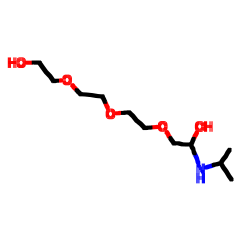 CC(C)NC(O)COCCOCCOCCO